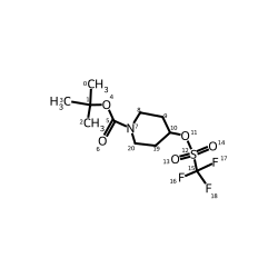 CC(C)(C)OC(=O)N1CCC(OS(=O)(=O)C(F)(F)F)CC1